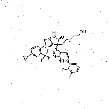 O=C(O)C(CCOCCO)(c1cc(-c2ccc(C3CC3)cc2C(F)(F)F)no1)n1cnc2c1C=CN(c1cccc(F)c1F)N2